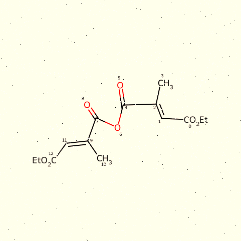 CCOC(=O)/C=C(\C)C(=O)OC(=O)/C(C)=C/C(=O)OCC